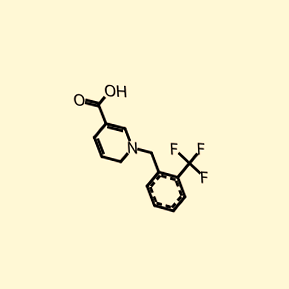 O=C(O)C1=CN(Cc2ccccc2C(F)(F)F)CC=C1